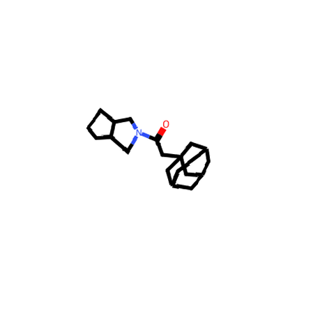 O=C(CC12CC3CC(CC(C3)C1)C2)N1CC2CCCC2C1